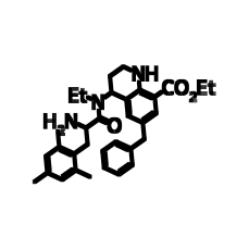 CCOC(=O)c1cc(Cc2ccccc2)cc2c1NCCC2N(CC)C(=O)C(N)Cc1c(C)cc(C)cc1C